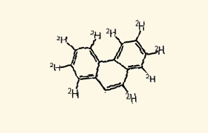 [2H]c1c([2H])c([2H])c2c([c]c([2H])c3c([2H])c([2H])c([2H])c([2H])c32)c1[2H]